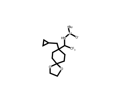 CC(C)(C)[S+]([O-])NC(C(F)(F)F)C1(CC2CC2)CCC2(CC1)OCCO2